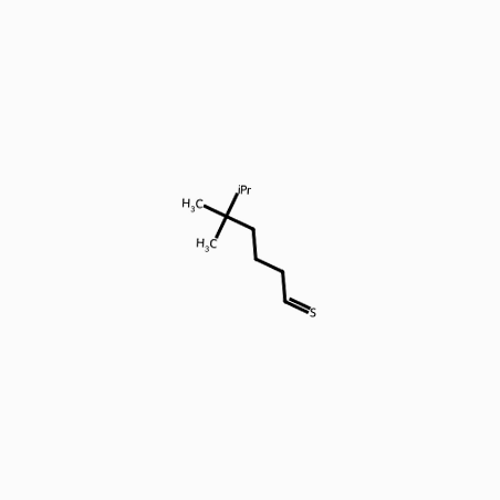 CC(C)C(C)(C)CCCC=S